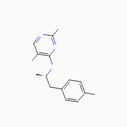 CC(=O)[C@H](Cc1ccc([N+](=O)[O-])cc1)Nc1nc(C)ncc1[N+](=O)[O-]